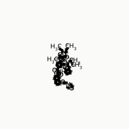 CCCCN(CCCC)C(=O)c1nn(-c2ccc(C(=O)NS(=O)(=O)c3ccc4cccc(OCCN5CCOCC5)c4c3)cc2C(=O)N2Cc3ccccc3CC2CN(C)C)c(C)c1Cl